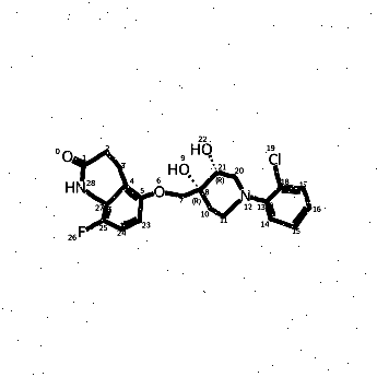 O=C1CCc2c(OC[C@]3(O)CCN(c4ccccc4Cl)C[C@H]3O)ccc(F)c2N1